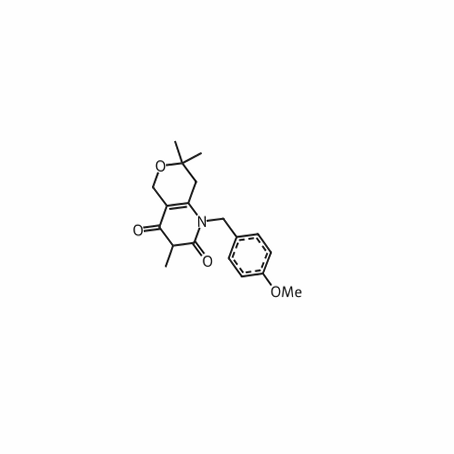 COc1ccc(CN2C(=O)C(C)C(=O)C3=C2CC(C)(C)OC3)cc1